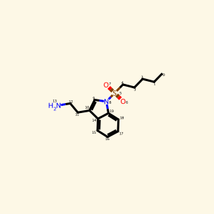 CCCCCS(=O)(=O)n1cc(CCN)c2ccccc21